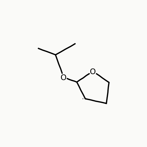 CC(C)OC1[CH]CCO1